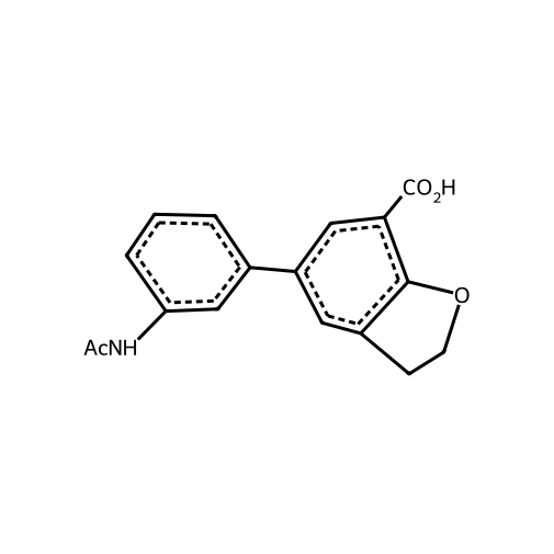 CC(=O)Nc1cccc(-c2cc3c(c(C(=O)O)c2)OCC3)c1